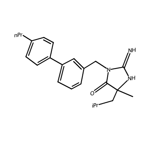 CCCc1ccc(-c2cccc(CN3C(=N)NC(C)(CC(C)C)C3=O)c2)cc1